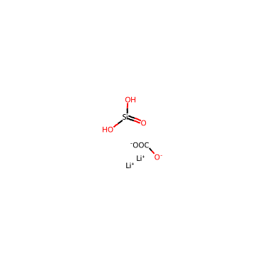 O=C([O-])[O-].O=[Si](O)O.[Li+].[Li+]